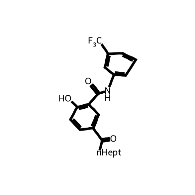 CCCCCCCC(=O)c1ccc(O)c(C(=O)Nc2cccc(C(F)(F)F)c2)c1